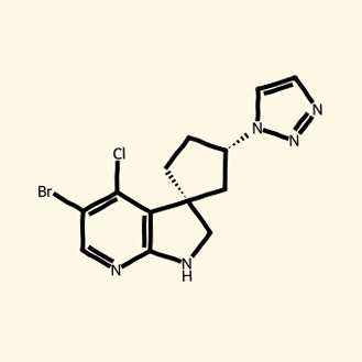 Clc1c(Br)cnc2c1[C@]1(CC[C@H](n3ccnn3)C1)CN2